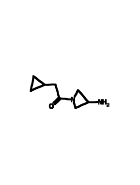 NC1CN(C(=O)CC2CC2)C1